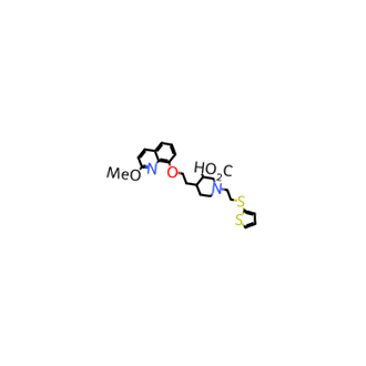 COc1ccc2cccc(OCCC3CCN(CCSc4cccs4)CC3C(=O)O)c2n1